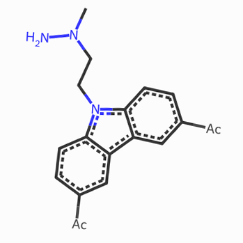 CC(=O)c1ccc2c(c1)c1cc(C(C)=O)ccc1n2CCN(C)N